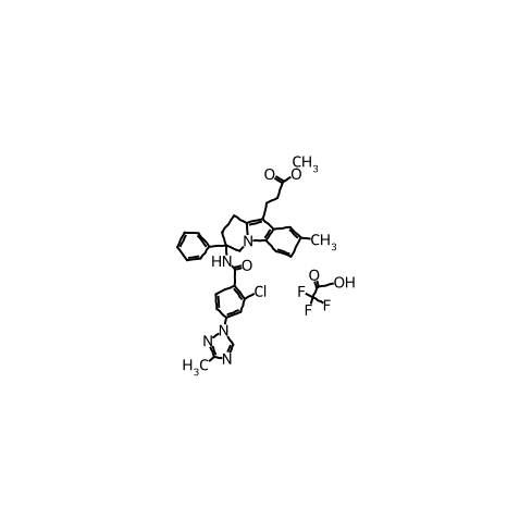 COC(=O)CCc1c2n(c3ccc(C)cc13)CC(NC(=O)c1ccc(-n3cnc(C)n3)cc1Cl)(c1ccccc1)CC2.O=C(O)C(F)(F)F